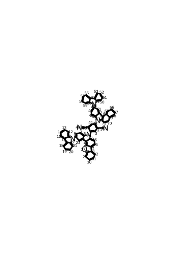 N#Cc1cc(-n2c3ccc(-n4c5ccccc5c5ccccc54)cc3c3c4oc5ccccc5c4ccc32)c(C#N)cc1-n1c2ccc(-n3c4ccccc4c4ccccc43)cc2c2c3ccccc3ccc21